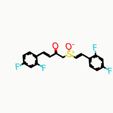 O=C(C=Cc1ccc(F)cc1F)C[S+]([O-])/C=C/c1ccc(F)cc1F